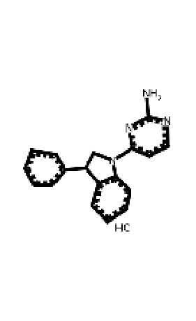 Cl.Nc1nccc(N2CC(c3ccccc3)c3ccccc32)n1